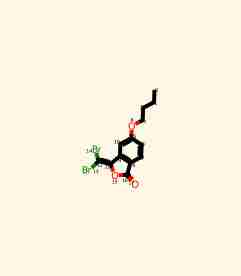 CCCCOc1ccc2c(c1)C(=C(Br)Br)OC2=O